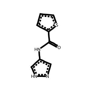 O=C(Nc1cn[nH]c1)c1cccs1